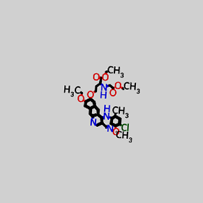 CCOC(=O)CNC(CCOc1cc2cc3c(Nc4cc(OC)c(Cl)cc4C)c(C#N)cnc3cc2cc1OCC)C(=O)OCC